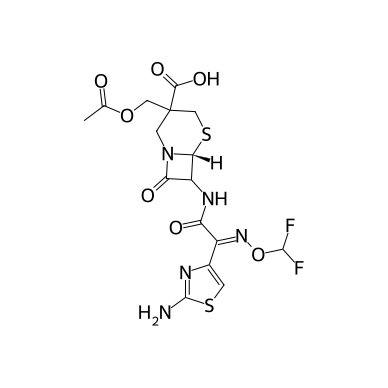 CC(=O)OCC1(C(=O)O)CS[C@@H]2C(NC(=O)C(=NOC(F)F)c3csc(N)n3)C(=O)N2C1